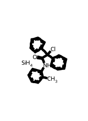 Cc1ccccc1NC(=O)C(Cl)(c1ccccc1)c1ccccc1.[SiH4]